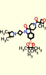 C[C@@H]1CN([C@H]2C[C@@H](N3C(=O)C4(CCN(C(=O)C5(C)COC5)CC4)c4ccc(B5OC(C)(C)C(C)(C)O5)cc43)C2)C[C@@H]1C